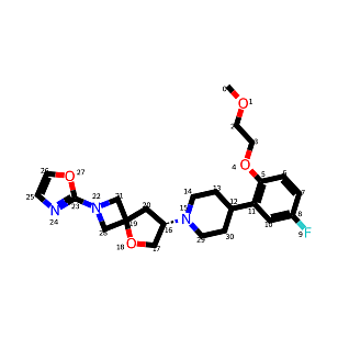 COCCOc1ccc(F)cc1C1CCN([C@@H]2COC3(C2)CN(c2ncco2)C3)CC1